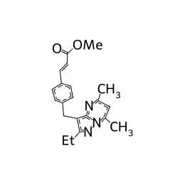 CCc1nn2c(C)cc(C)nc2c1Cc1ccc(C=CC(=O)OC)cc1